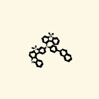 C[Si]1(C)c2ccccc2-c2c(N(c3ccc(-c4ccc5ccccc5c4)cc3)c3ccc4c(c3)[Si](C)(C)c3ccc5sc6ccccc6c5c3-4)cccc21